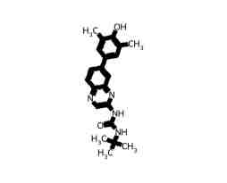 Cc1cc(-c2ccc3ncc(NC(=O)NC(C)(C)C)nc3c2)cc(C)c1O